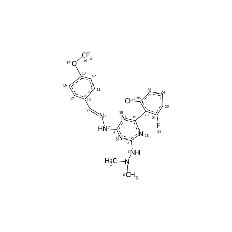 CN(C)Nc1nc(NN=Cc2ccc(OC(F)(F)F)cc2)nc(-c2c(F)cccc2Cl)n1